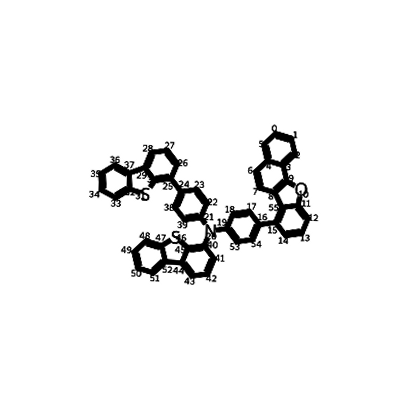 c1ccc2c(c1)ccc1c2oc2cccc(-c3ccc(N(c4ccc(-c5cccc6c5sc5ccccc56)cc4)c4cccc5c4sc4ccccc45)cc3)c21